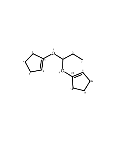 [CH2]CC(OC1=CCCC1)OC1=CCCC1